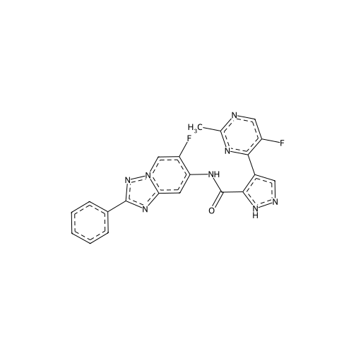 Cc1ncc(F)c(-c2cn[nH]c2C(=O)Nc2cc3nc(-c4ccccc4)nn3cc2F)n1